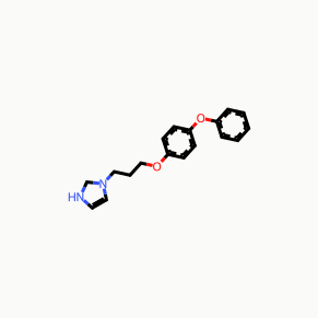 C1=CN(CCCOc2ccc(Oc3ccccc3)cc2)CN1